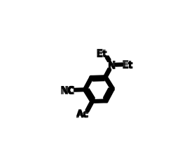 CCN(CC)c1ccc(C(C)=O)c(C#N)c1